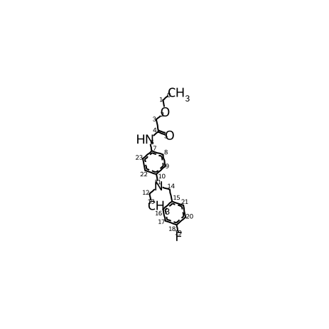 CCOCC(=O)Nc1ccc(N(CC)Cc2ccc(F)cc2)cc1